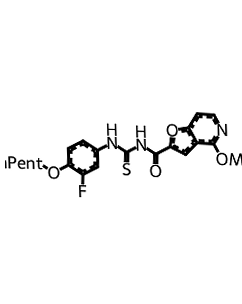 CCCCCOc1ccc(NC(=S)NC(=O)c2cc3c(OC)nccc3o2)cc1F